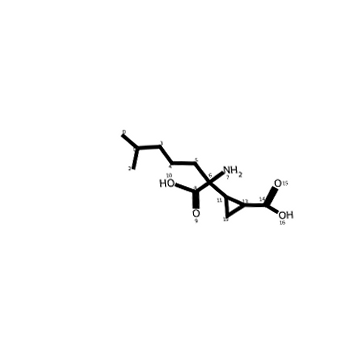 CC(C)CCCC(N)(C(=O)O)C1CC1C(=O)O